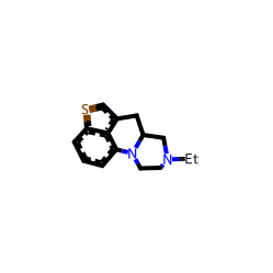 CCN1CCN2c3cccc4scc(c34)CC2C1